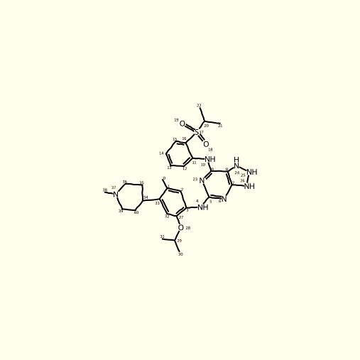 Cc1cc(Nc2nc3c(c(Nc4ccccc4S(=O)(=O)C(C)C)n2)NNN3)c(OC(C)C)cc1C1CCN(C)CC1